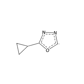 [c]1nnc(C2CC2)o1